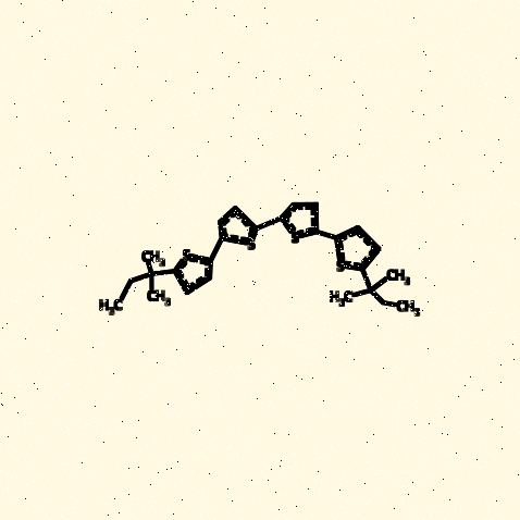 CCC(C)(C)c1ccc(-c2ccc(-c3ccc(-c4ccc(C(C)(C)CC)s4)s3)s2)s1